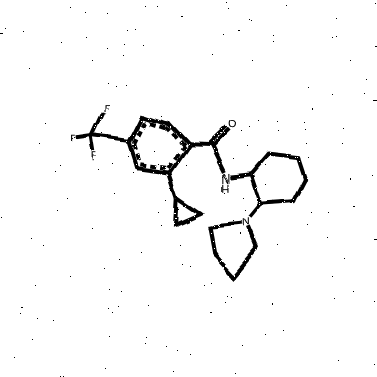 O=C(NC1CCCCC1N1CCCC1)c1ccc(C(F)(F)F)cc1C1CC1